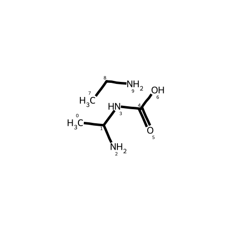 CC(N)NC(=O)O.CCN